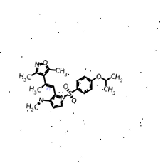 C=Nc1ccn(S(=O)(=O)c2ccc(OC(C)C)cc2)c1/C=C(\C)c1c(C)noc1C